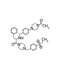 CCS(=O)(=O)c1ccc(CN2CCN(C(=O)C(Cc3ccccc3)NCc3ccc(N4CCN(C(C)=O)CC4)cc3)CC2)cc1